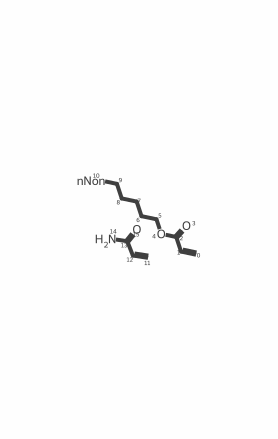 C=CC(=O)OCCCCCCCCCCCCCC.C=CC(N)=O